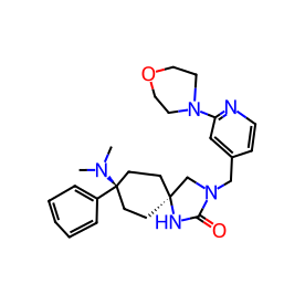 CN(C)[C@]1(c2ccccc2)CC[C@]2(CC1)CN(Cc1ccnc(N3CCOCC3)c1)C(=O)N2